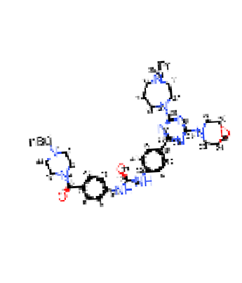 CCCCN1CCN(C(=O)c2ccc(NC(=O)Nc3ccc(-c4nc(N5CCOCC5)nc(N5CCCN(C(C)C)CC5)n4)cc3)cc2)CC1